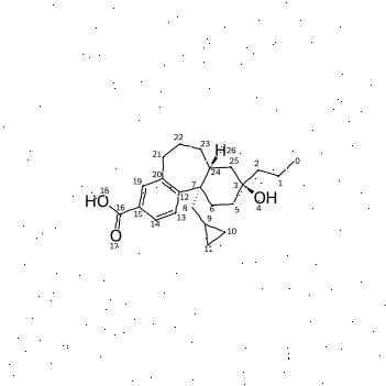 CCC[C@]1(O)CC[C@@]2(CC3CC3)c3ccc(C(=O)O)cc3CCC[C@@H]2C1